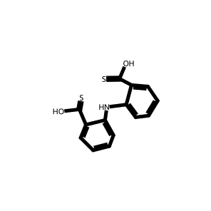 OC(=S)c1ccccc1Nc1ccccc1C(O)=S